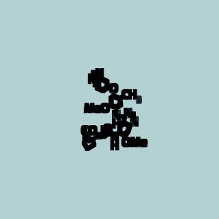 COc1cc2ncnc(Nc3cc(C)c(Oc4ccn5ncnc5c4)cc3OC)c2cc1NC(=O)/C=C/[C@H]1CCCN1C(=O)O